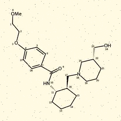 COCCOc1ccc(C(=O)N[C@H]2CCCC[C@@H]2CN2CCC[C@@H](CO)C2)cc1